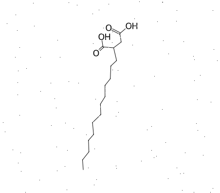 CCCCCCCCCCCCCC(CC(=O)O)C(=O)O